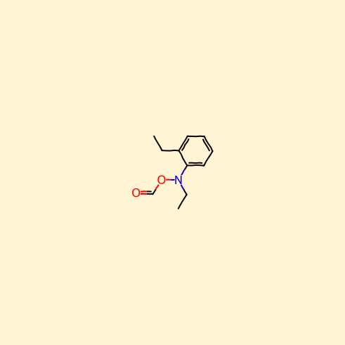 CCc1ccccc1N(CC)OC=O